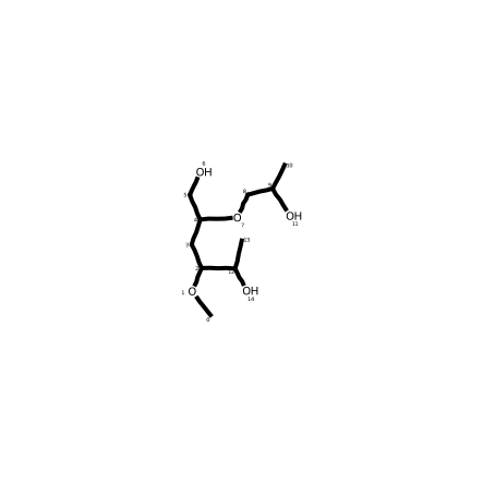 COC(CC(CO)OCC(C)O)C(C)O